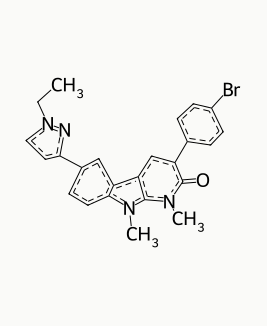 CCn1ccc(-c2ccc3c(c2)c2cc(-c4ccc(Br)cc4)c(=O)n(C)c2n3C)n1